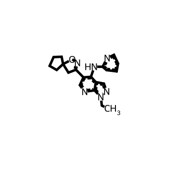 CCn1ncc2c(Nc3ccccn3)c(C3=NOC4(CCCC4)C3)cnc21